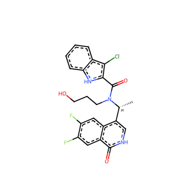 C[C@H](c1c[nH]c(=O)c2cc(F)c(F)cc12)N(CCCO)C(=O)c1[nH]c2ccccc2c1Cl